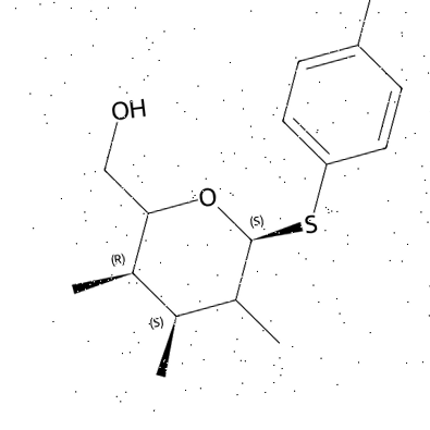 Cc1ccc(S[C@@H]2OC(CO)[C@H](C)[C@H](C)C2C)cc1